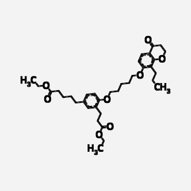 CCCc1c(OCCCCCOc2ccc(CCCCC(=O)OCC)cc2CCC(=O)OCC)ccc2c1OCCC2=O